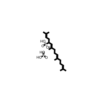 CC(C)=CCC/C(C)=C/CC/C(C)=C/C(CC=C(C)C)P(=O)(O)O.O=[PH](O)O